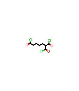 O=C(Cl)CCCCC(C(=O)Cl)C(=O)Cl